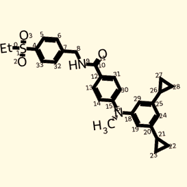 CCS(=O)(=O)c1ccc(CNC(=O)c2ccc(N(C)c3cc(C4CC4)cc(C4CC4)c3)cc2)cc1